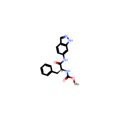 CC(C)(C)OC(=O)N[C@@H](Cc1ccccc1)C(=O)Nc1ccc2cn[nH]c2c1